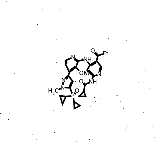 CCC(=O)c1cnc(NC(=O)C2CC2)cc1Nc1nccc(-c2cc(P(=O)(C3CC3)C3CC3)n(C)n2)c1OC